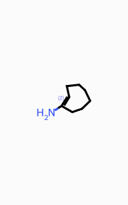 N/C1=C\CCCCCC1